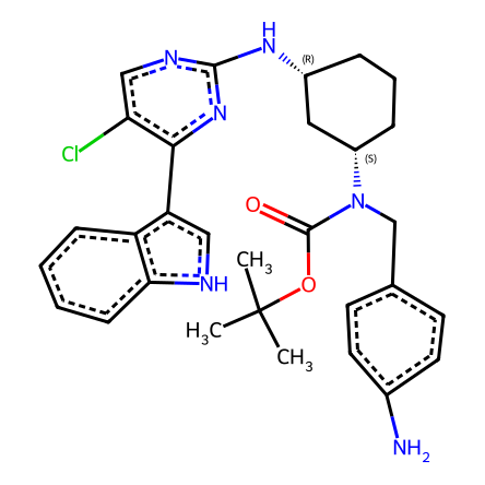 CC(C)(C)OC(=O)N(Cc1ccc(N)cc1)[C@H]1CCC[C@@H](Nc2ncc(Cl)c(-c3c[nH]c4ccccc34)n2)C1